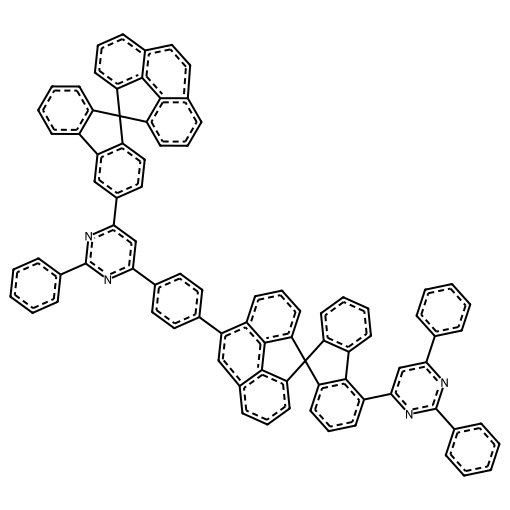 c1ccc(-c2cc(-c3cccc4c3-c3ccccc3C43c4cccc5cc(-c6ccc(-c7cc(-c8ccc9c(c8)-c8ccccc8C98c9cccc%10ccc%11cccc8c%11c9%10)nc(-c8ccccc8)n7)cc6)c6cccc3c6c45)nc(-c3ccccc3)n2)cc1